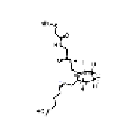 CCCCSCC(=O)NCC(=O)NC[C@@H]1[C@H](C/C=C\CCCC(=O)O)[C@H]2O[C@@H]1[C@H]1O[C@H]12